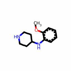 COc1ccccc1NC1CCNCC1